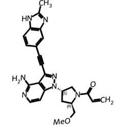 C=CC(=O)N1C[C@@H](n2nc(C#Cc3ccc4[nH]c(C)nc4c3)c3c(N)nccc32)C[C@@H]1COC